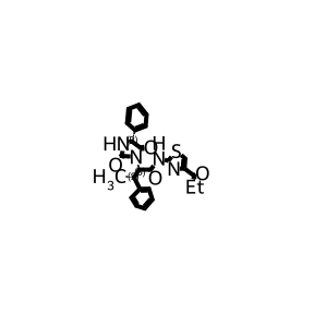 CCC(=O)c1csc(NC(=O)[C@H]([C@@H](C)c2ccccc2)N2C(=O)N[C@H](c3ccccc3)C2=O)n1